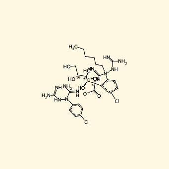 CCCCCC[N+](NC(=N)N)(C(=N)N)c1ccc(Cl)cc1[C@@](O)(C(=O)[O-])[C@@H](O)[C@H](O)[C@H](O)CO.N=C(N)NN(C(=N)N)c1ccc(Cl)cc1